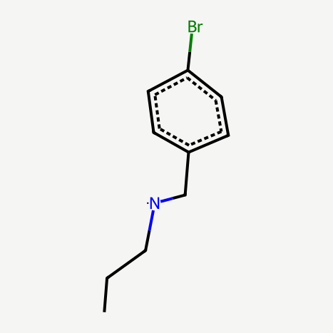 CCC[N]Cc1ccc(Br)cc1